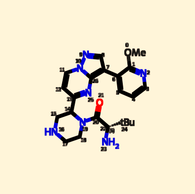 COc1ncccc1-c1cnn2ccc(C3CNCCN3C(=O)[C@@H](N)C(C)(C)C)nc12